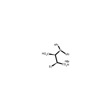 Br.CCCN(CCC)[C@H](C(=O)O)[C@H](CC)C(=O)O